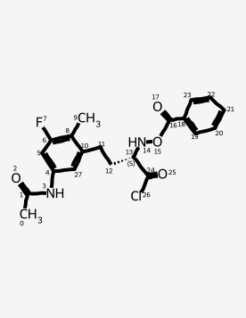 CC(=O)Nc1cc(F)c(C)c(CC[C@H](NOC(=O)c2ccccc2)C(=O)Cl)c1